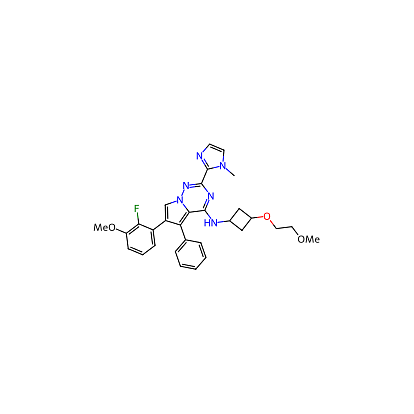 COCCOC1CC(Nc2nc(-c3nccn3C)nn3cc(-c4cccc(OC)c4F)c(-c4ccccc4)c23)C1